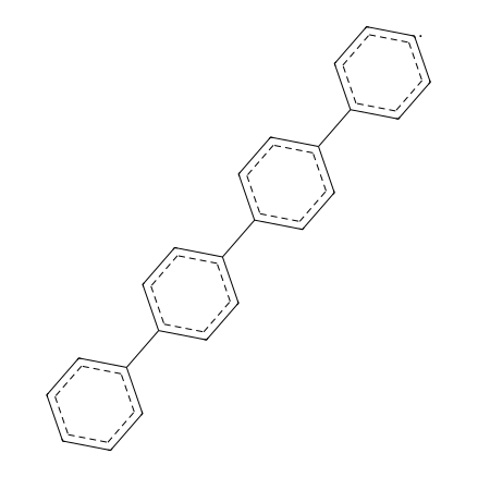 [c]1ccc(-c2ccc(-c3ccc(-c4ccccc4)cc3)cc2)cc1